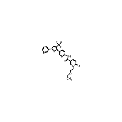 CCOCCn1cc(C(=O)Nc2ccc(-n3nc(-c4cccnc4)cc3C(F)(F)F)cn2)ccc1=O